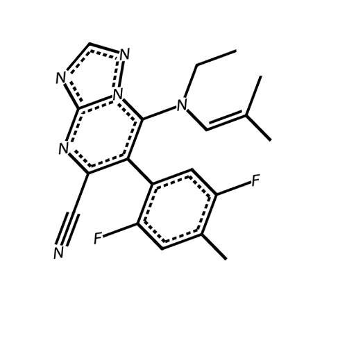 CCN(C=C(C)C)c1c(-c2cc(F)c(C)cc2F)c(C#N)nc2ncnn12